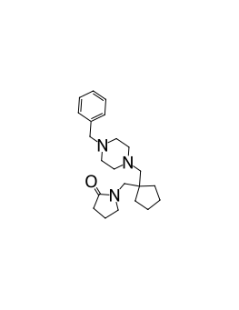 O=C1CCCN1CC1(CN2CCN(Cc3ccccc3)CC2)CCCC1